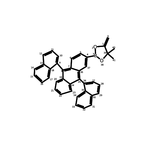 C=C1OB(c2ccc3c(-c4cccc5ccccc45)c4ccccc4c(-c4cccc5ccccc45)c3c2)OC1(C)C